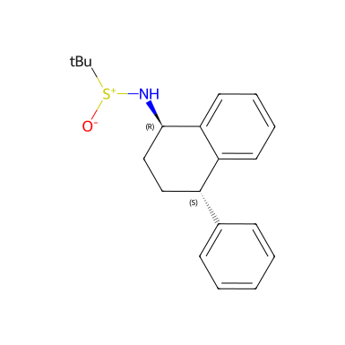 CC(C)(C)[S+]([O-])N[C@@H]1CC[C@@H](c2ccccc2)c2ccccc21